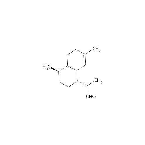 CC1=CC2C(CC1)[C@H](C)CC[C@H]2C(C)C=O